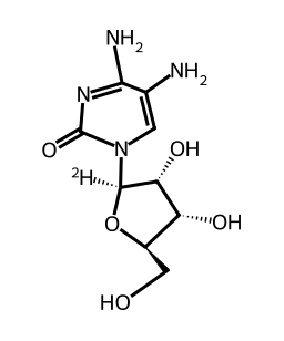 [2H][C@@]1(n2cc(N)c(N)nc2=O)O[C@H](CO)[C@@H](O)[C@H]1O